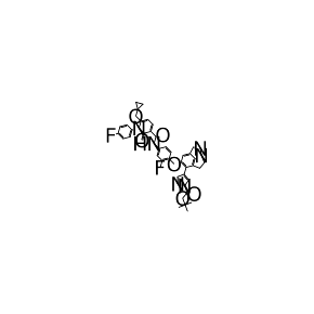 CC(C)(C)OC(=O)n1cc(-c2c(Oc3ccc(NC(=O)c4ccc(OC5CC5)n(-c5ccc(F)cc5)c4=O)cc3F)cc3cnn4c3c2CC4)cn1